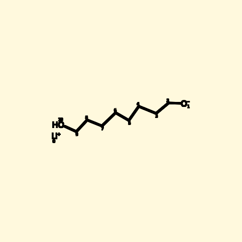 [Li+].[O-]CCCCCCCCO